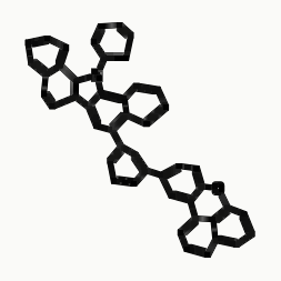 c1ccc(-n2c3c4ccccc4ccc3c3cc(-c4cccc(-c5ccc6c(c5)-c5cccc7cccc(c57)O6)c4)c4ccccc4c32)cc1